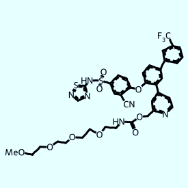 COCCOCCOCCOCCNC(=O)OCc1cc(-c2cc(-c3cccc(C(F)(F)F)c3)ccc2Oc2ccc(S(=O)(=O)Nc3ncns3)cc2C#N)ccn1